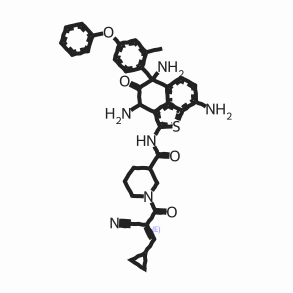 Cc1cc(Oc2ccccc2)ccc1C1(N)C(=O)C(N)c2c(NC(=O)C3CCCN(C(=O)/C(C#N)=C/C4CC4)C3)sc3c(N)ccc1c23